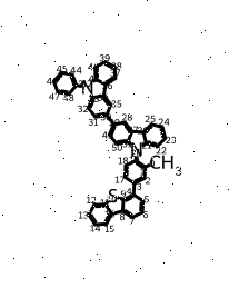 Cc1cc(-c2cccc3c2sc2ccccc23)ccc1-n1c2ccccc2c2cc(-c3ccc4c(c3)c3ccccc3n4-c3ccccc3)ccc21